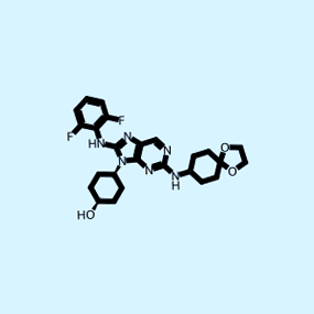 O[C@H]1CC[C@@H](n2c(Nc3c(F)cccc3F)nc3cnc(NC4CCC5(CC4)OCCO5)nc32)CC1